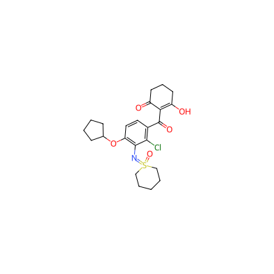 O=C1CCCC(O)=C1C(=O)c1ccc(OC2CCCC2)c(N=S2(=O)CCCCC2)c1Cl